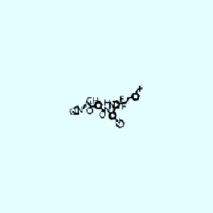 CN(CCN1CCOCC1)C(=O)c1cccc(C(=O)Nc2ccc(N3CCCCC3)cc2-c2cc(C(F)(F)CCc3cccc(CF)c3)ccn2)c1